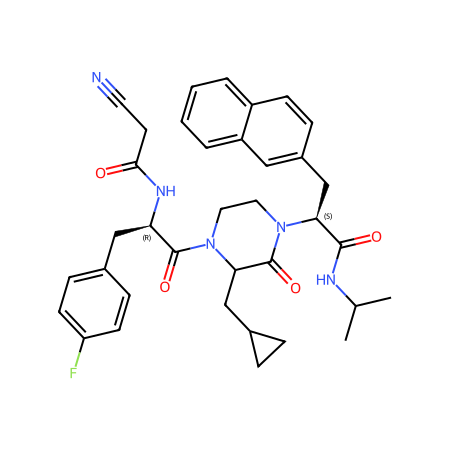 CC(C)NC(=O)[C@H](Cc1ccc2ccccc2c1)N1CCN(C(=O)[C@@H](Cc2ccc(F)cc2)NC(=O)CC#N)C(CC2CC2)C1=O